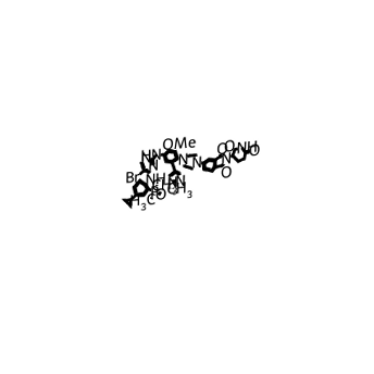 COc1cc(N2CCN(c3ccc4c(c3)C(=O)N(C3CCC(=O)NC3=O)C4=O)CC2)c(-c2cnn(C)c2)cc1Nc1ncc(Br)c(Nc2ccc(C3CC3)cc2P(C)(C)=O)n1